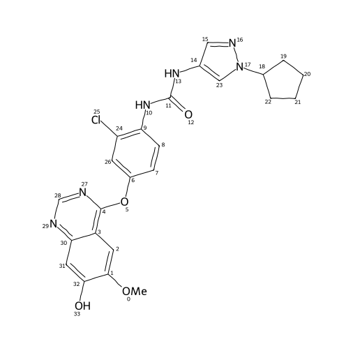 COc1cc2c(Oc3ccc(NC(=O)Nc4cnn(C5CCCC5)c4)c(Cl)c3)ncnc2cc1O